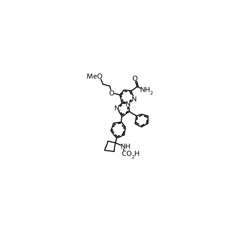 COCCOc1cc(C(N)=O)nn2c(-c3ccccc3)c(-c3ccc(C4(NC(=O)O)CCC4)cc3)nc12